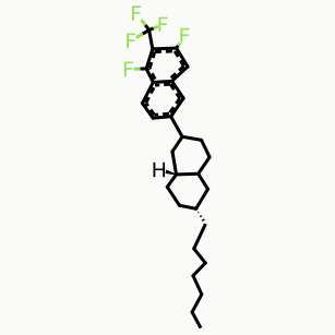 CCCCCCC[C@@H]1CC[C@@H]2CC(c3ccc4c(F)c(C(F)(F)F)c(F)cc4c3)CCC2C1